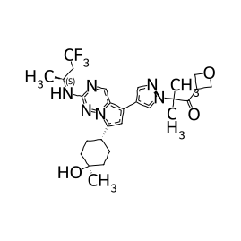 C[C@@H](CC(F)(F)F)Nc1ncc2c(-c3cnn(C(C)(C)C(=O)C4COC4)c3)cc([C@H]3CC[C@](C)(O)CC3)n2n1